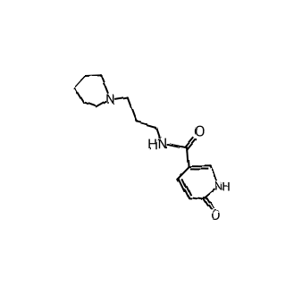 O=C(NCCCN1CCCCC1)c1ccc(=O)[nH]c1